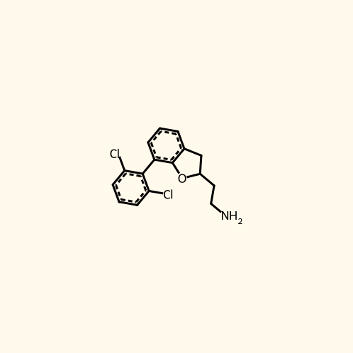 NCCC1Cc2cccc(-c3c(Cl)cccc3Cl)c2O1